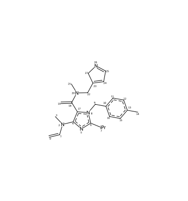 C=CN(C)c1nc(C(C)C)n(Cc2ccc(C)cc2)c1C(=C)N(C)CC1=CC=NC1